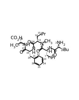 CC[C@H](C)[C@H](N)C(=O)N[C@H](CC(C)C)C(=O)N(C)[C@H](CC(C)C)C(=O)N[C@H](Cc1ccccc1)C(=O)N[C@H](C)C(=O)O